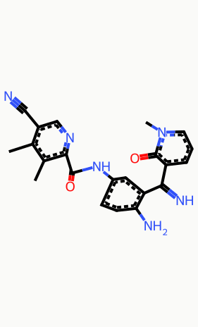 Cc1c(C#N)cnc(C(=O)Nc2ccc(N)c(C(=N)c3cccn(C)c3=O)c2)c1C